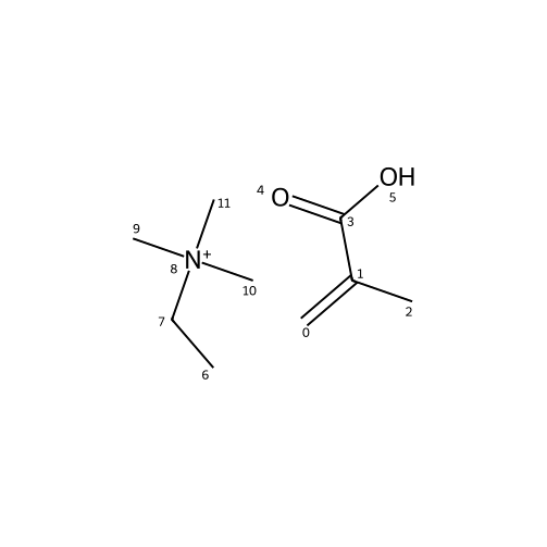 C=C(C)C(=O)O.CC[N+](C)(C)C